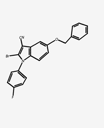 N#Cc1c(Br)n(-c2ccc(F)cc2)c2ccc(OCc3ccccc3)cc12